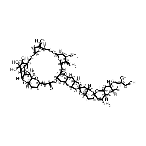 C=C1C[C@@H]2CC[C@]34OC([C@@H]5O[C@H]6CC[C@H](CC(=O)O[C@@H]7CC8OC9C[C@]%10(C[C@@H]%11O[C@@]%12(CC[C@@H]%11O%10)C[C@H](N)[C@@H]%10O[C@@H]%11C[C@@H]([C@@H](O)CO)O[C@@H]%11C[C@@H]%10O%12)O[C@@H]9C[C@@H]8O[C@H]7C[C@H]7O[C@@H](CC[C@@H]1O2)C[C@@H](N)C7=C)O[C@@H]6[C@H](O3)[C@@H]5I)C(O)(O)[C@H]4O